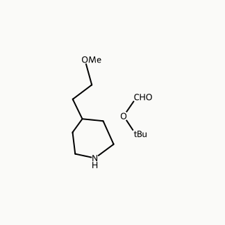 CC(C)(C)OC=O.COCCC1CCNCC1